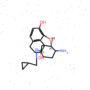 NC1CC[C@@]2(O)C3Cc4ccc(O)c5c4C2(CCN3CC2CC2)[C@H]1O5